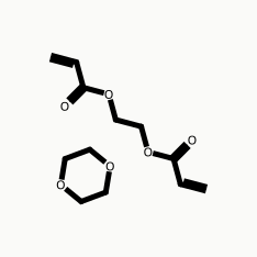 C1COCCO1.C=CC(=O)OCCOC(=O)C=C